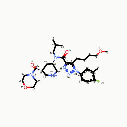 COCCCCc1c(C(=O)N(CC(C)C)[C@@H]2CNC[C@H](C(=O)N3CCOCC3)C2)nnn1-c1ccc(F)c(C)c1